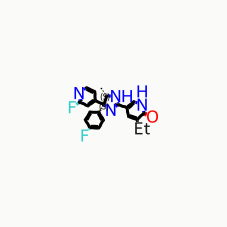 CCc1cc(C2=N[C@@](c3ccc(F)cc3)(c3ccnc(F)c3)[C@H](C)N2)c[nH]c1=O